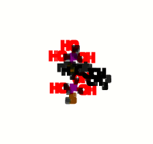 CC.CCCCCC.OP(O)(O)=S.OP(O)(O)=S